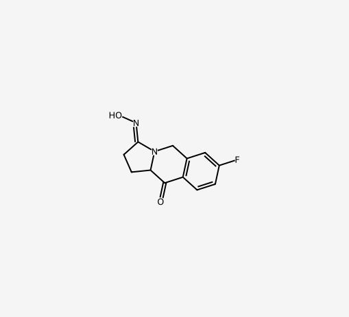 O=C1c2ccc(F)cc2CN2/C(=N/O)CCC12